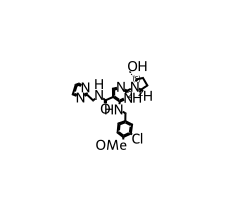 [2H]C1([2H])CC[C@@H](CO)N1c1ncc(C(=O)NCc2ncccn2)c(NCc2ccc(OC)c(Cl)c2)n1